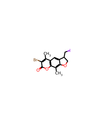 Cc1c(Br)c(=O)oc2c(C)c3c(cc12)C(CI)CO3